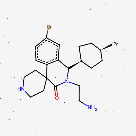 CC(C)[C@H]1CC[C@@H](C2c3cc(Br)ccc3C3(CCNCC3)C(=O)N2CCN)CC1